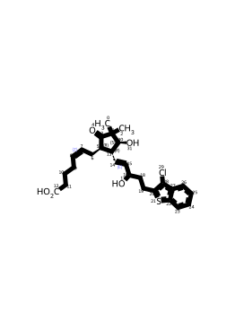 CC1(C)C(=O)[C@H](C/C=C\CCCC(=O)O)[C@@H](/C=C/C(O)CCc2sc3ccccc3c2Cl)[C@@H]1O